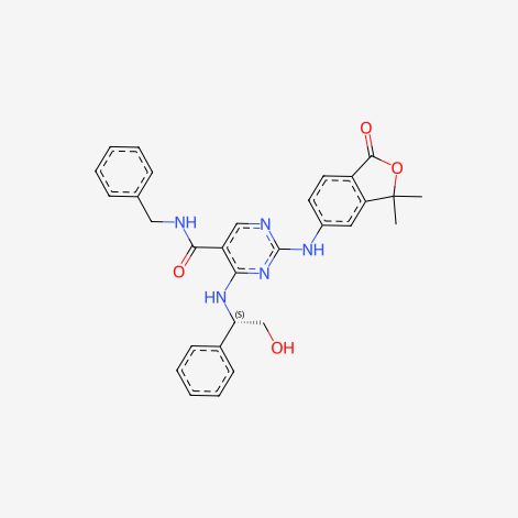 CC1(C)OC(=O)c2ccc(Nc3ncc(C(=O)NCc4ccccc4)c(N[C@H](CO)c4ccccc4)n3)cc21